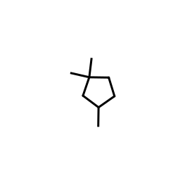 CC1CCC(C)(C)C1